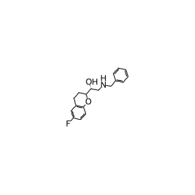 O[C@H](CNCc1ccccc1)C1CCc2cc(F)ccc2O1